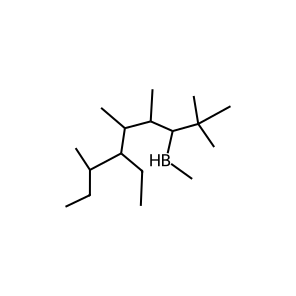 CBC(C(C)C(C)C(CC)C(C)CC)C(C)(C)C